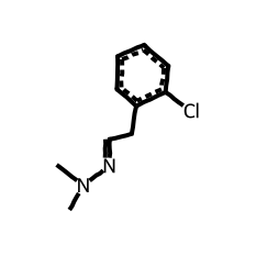 CN(C)N=CCc1ccccc1Cl